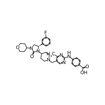 Cc1nc(Nc2ccc(C(=O)O)cc2)ncc1CN1CCC(N2C(=O)N(C3CCOCC3)C[C@H]2c2cccc(F)c2)CC1